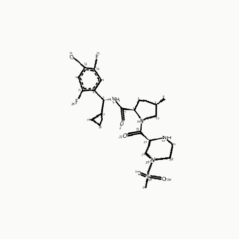 C[C@@H]1C[C@H](C(=O)N[C@@H](c2cc(F)c(Cl)cc2F)C2CC2)N(C(=O)[C@@H]2CN(S(C)(=O)=O)CCN2)C1